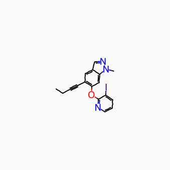 CCC#Cc1cc2cnn(C)c2cc1Oc1ncccc1I